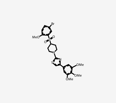 COc1ccc(Br)cc1S(=O)(=O)C1CCN(c2nc(-c3cc(OC)c(OC)c(OC)c3)cs2)CC1